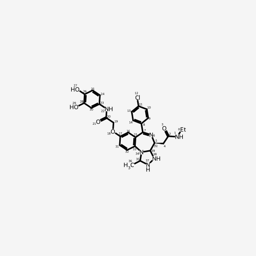 CCNC(=O)C[C@@H]1N=C(c2ccc(Cl)cc2)c2cc(OCC(=O)Nc3ccc(O)c(O)c3)ccc2N2C(C)NNC12